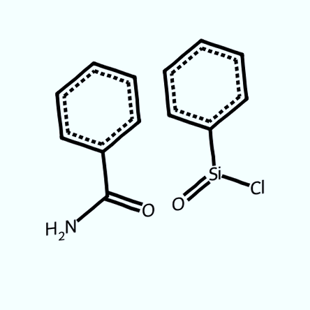 NC(=O)c1ccccc1.O=[Si](Cl)c1ccccc1